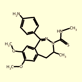 CNC(=S)N1N=C(c2ccc(N)cc2)c2cc(OC)c(OC)cc2CC1C